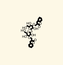 O=c1oc2ccccc2cc1COC1[C@@H](O)C(CO)O[C@@H](S[C@@H]2OC(CO)[C@H](O)C(OCc3cc4ccccc4oc3=O)[C@@H]2O)[C@@H]1O